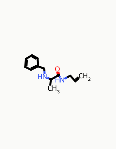 C=CCNC(=O)C(C)NCc1ccccc1